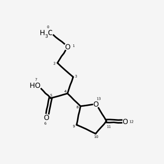 COCCC(C(=O)O)C1CCC(=O)O1